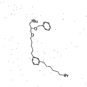 CC(C)CCCCCCc1cccc(CCCCCOCC(CC(C)(C)C)OCc2ccccc2)c1